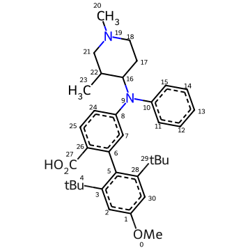 COc1cc(C(C)(C)C)c(-c2cc(N(c3ccccc3)C3CCN(C)CC3C)ccc2C(=O)O)c(C(C)(C)C)c1